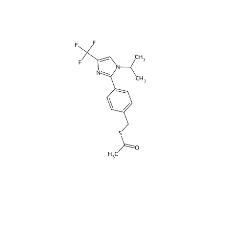 CC(=O)SCc1ccc(-c2nc(C(F)(F)F)cn2C(C)C)cc1